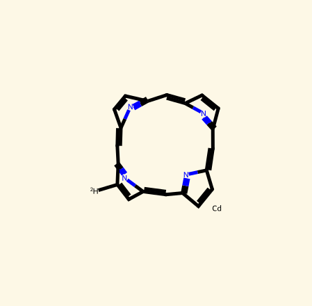 [2H]C1=CC2=CC3=NC(=CC4=NC(=CC5=NC(=CC1=N2)C=C5)C=C4)C=C3.[Cd]